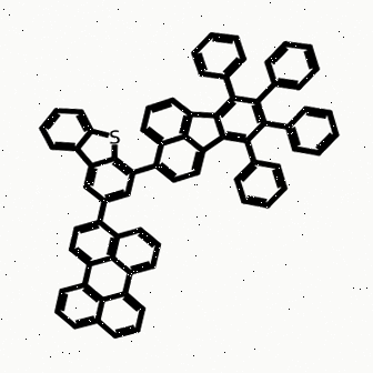 c1ccc(-c2c(-c3ccccc3)c(-c3ccccc3)c3c(c2-c2ccccc2)-c2cccc4c(-c5cc(-c6ccc7c8cccc9cccc(c%10cccc6c%107)c98)cc6c5sc5ccccc56)ccc-3c24)cc1